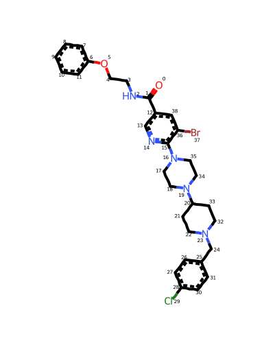 O=C(NCCOc1ccccc1)c1cnc(N2CCN(C3CCN(Cc4ccc(Cl)cc4)CC3)CC2)c(Br)c1